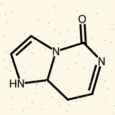 O=C1N=CCC2NC=CN12